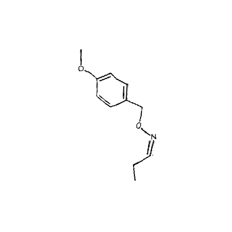 CC/[C]=N\OCc1ccc(OC)cc1